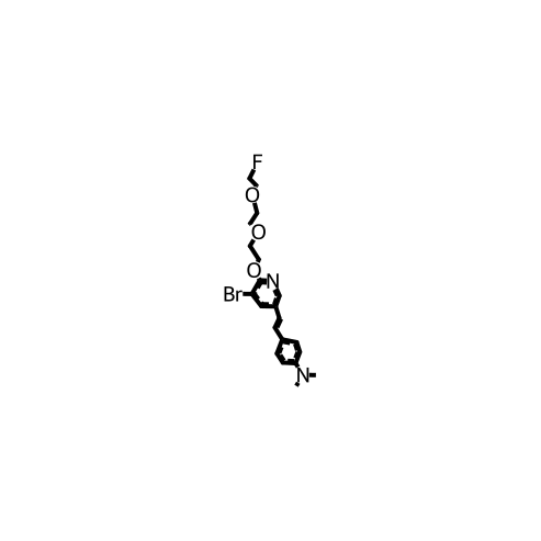 CN(C)c1ccc(C=Cc2cnc(OCCOCCOCCF)c(Br)c2)cc1